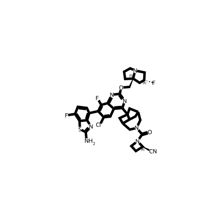 N#C[C@H]1CCN1C(=O)N1CC2CC3C(C1)CC3(c1nc(OC[C@@]34CCCN3C[C@H](F)C4)nc3c(F)c(-c4ccc(F)c5sc(N)nc45)c(Cl)cc13)C2